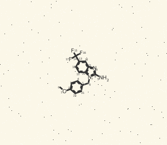 COc1ccc(Cn2c(N)nc3cc(C(F)(F)F)ccc32)cc1